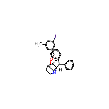 Cc1cc(I)cc(CO[C@@H]2C3CCN(CC3)[C@@H]2C(c2ccccc2)c2ccccc2)c1